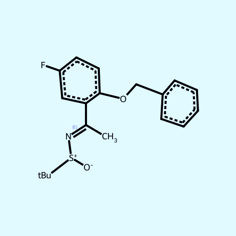 C/C(=N\[S+]([O-])C(C)(C)C)c1cc(F)ccc1OCc1ccccc1